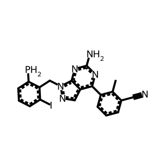 Cc1c(C#N)cccc1-c1nc(N)nc2c1cnn2Cc1c(P)cccc1I